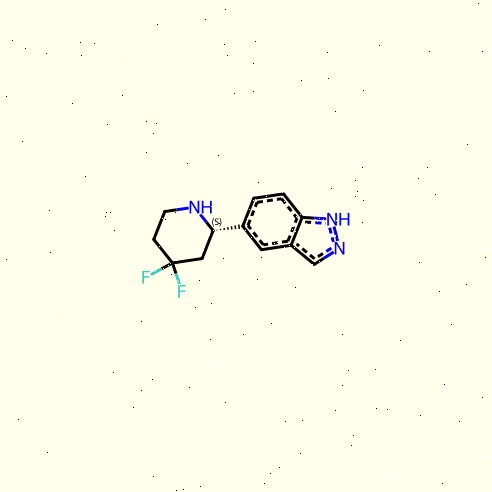 FC1(F)CCN[C@H](c2ccc3[nH]ncc3c2)C1